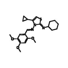 COc1cc(OC)c(OC)cc1/C=N/n1c(C2CC2)cs/c1=N\C1CCCCC1